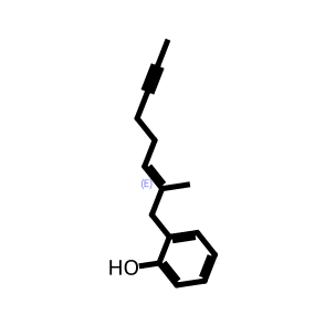 CC#CCC/C=C(\C)Cc1ccccc1O